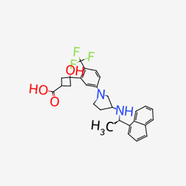 C[C@@H](N[C@H]1CCN(c2ccc(C(F)(F)F)c(C3(O)CC(C(=O)O)C3)c2)C1)c1cccc2ccccc12